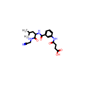 CC(C)CC(NC(=O)c1cccc(NC(=O)CCC(=O)O)c1)C(=O)NCC#N